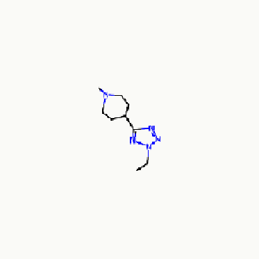 CCn1nnc(C2CCN(C)CC2)n1